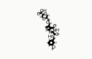 COc1cccc(CNC(=O)c2nc3scc(COC[C@@H]4CO[C@@H](C(=O)O)CO4)c3c(=O)[nH]2)c1